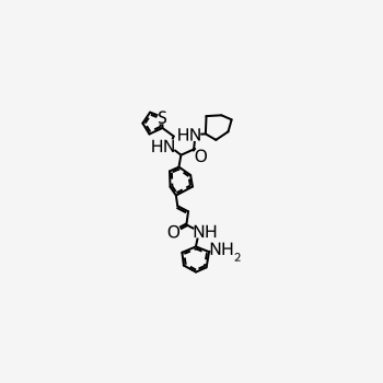 Nc1ccccc1NC(=O)C=Cc1ccc(C(NCc2cccs2)C(=O)NC2CCCCC2)cc1